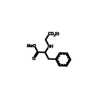 CCOC(=O)CNC(Cc1ccccc1)C(=O)OC